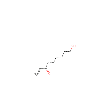 C=CC(=O)CCCCCCO